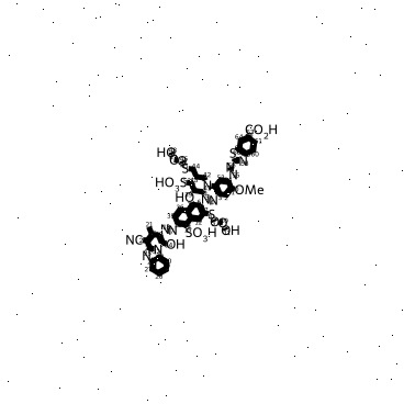 COc1cc(N=Nc2c(SOOO)cc3c(S(=O)(=O)O)c(N=Nc4c(C)c(C#N)c5nc6ccccc6n5c4O)ccc3c2O)c(N(CCCSOOO)CCCS(=O)(=O)O)cc1N=Nc1nc2ccc(C(=O)O)cc2s1